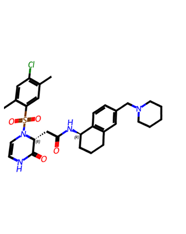 Cc1cc(S(=O)(=O)N2C=CNC(=O)[C@H]2CC(=O)N[C@@H]2CCCc3cc(CN4CCCCC4)ccc32)c(C)cc1Cl